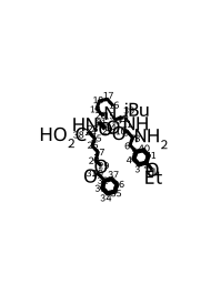 CCOc1ccc(C[C@@H](N)C(=O)N[C@H](C(=O)N2CCCC[C@H]2C(=O)N[C@@H](CCCCOC(=O)c2ccccc2)C(=O)O)[C@@H](C)CC)cc1